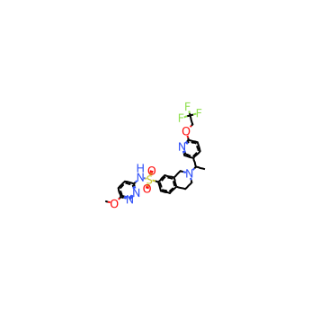 COc1ccc(NS(=O)(=O)c2ccc3c(c2)CN(C(C)c2ccc(OCC(F)(F)F)nc2)CC3)nn1